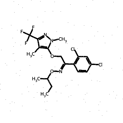 CCC(C)ON=C(COc1c(C)c(C(F)(F)F)nn1C)c1ccc(Cl)cc1Cl